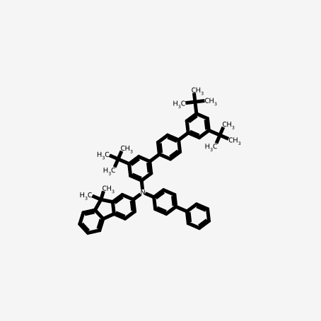 CC(C)(C)c1cc(-c2ccc(-c3cc(C(C)(C)C)cc(C(C)(C)C)c3)cc2)cc(N(c2ccc(-c3ccccc3)cc2)c2ccc3c(c2)C(C)(C)c2ccccc2-3)c1